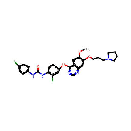 COc1cc2c(Oc3ccc(NC(=O)Nc4ccc(F)cc4)c(F)c3)ncnc2cc1OCCCN1CCCC1